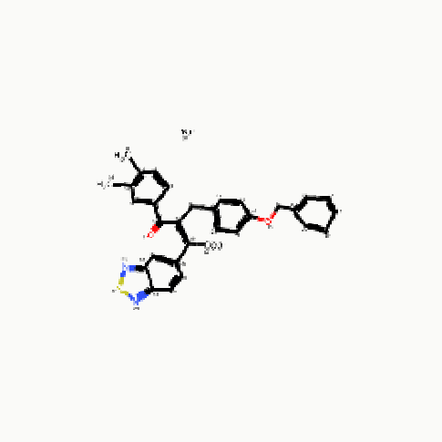 Cc1ccc(C(=O)C(Cc2ccc(OCc3ccccc3)cc2)=C(C(=O)[O-])c2ccc3nsnc3c2)cc1C.[Na+]